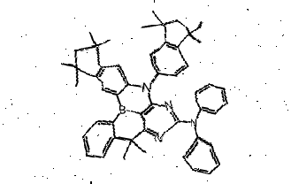 CC1(C)CC(C)(C)c2cc(N3c4cc5c(cc4B4c6ccccc6C(C)(C)c6nc(N(c7ccccc7)c7ccccc7)nc3c64)C(C)(C)CC5(C)C)ccc21